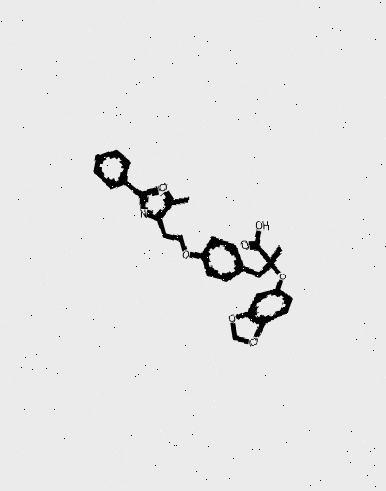 Cc1oc(-c2ccccc2)nc1CCOc1ccc(CC(C)(Oc2ccc3c(c2)OCO3)C(=O)O)cc1